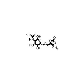 CCCC(=O)N[C@H]1C(O)O[C@H](COCc2oc(=O)oc2C)[C@@H](O)[C@@H]1O